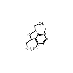 CCCOCCC.Fc1ccc(Br)cc1